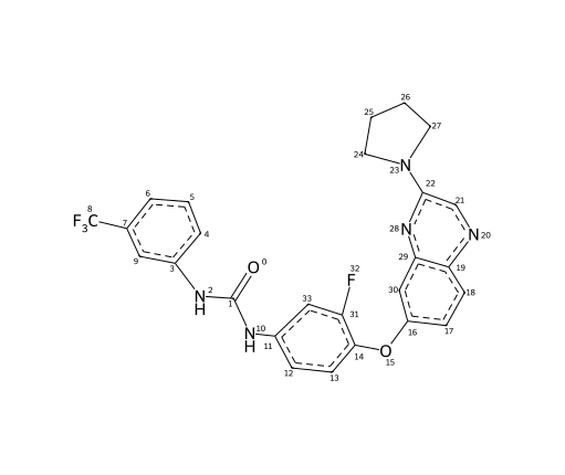 O=C(Nc1cccc(C(F)(F)F)c1)Nc1ccc(Oc2ccc3ncc(N4CCCC4)nc3c2)c(F)c1